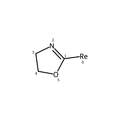 [Re][C]1=NCCO1